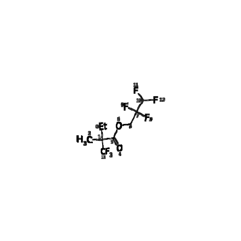 CCC(C)(C(=O)OCC(F)(F)C(F)F)C(F)(F)F